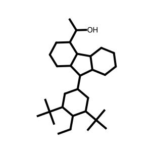 CCC1C(C(C)(C)C)CC(C2C3CCCCC3C3C(C(C)O)CCCC23)CC1C(C)(C)C